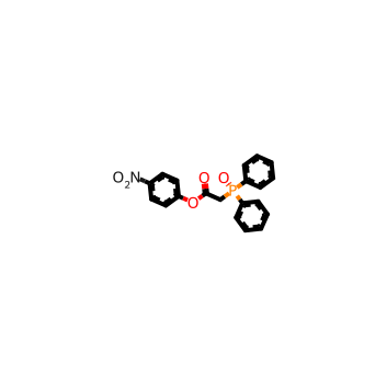 O=C(CP(=O)(c1ccccc1)c1ccccc1)Oc1ccc([N+](=O)[O-])cc1